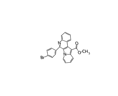 COC(=O)c1c2c3ccccc3nc(-c3ccc(Br)cc3)c2n2ccccc12